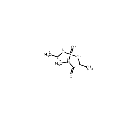 CCOP(=O)(OCC)N(C)[C]=O